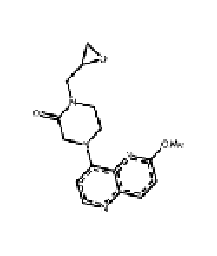 COc1ccc2nccc(N3CCN(CC4CO4)C(=O)C3)c2n1